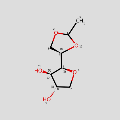 CC1OC[C@H]([C@H]2OC[C@H](O)[C@H]2O)O1